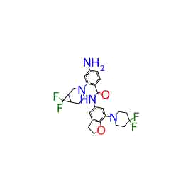 Nc1ccc(C(=O)Nc2cc3c(c(N4CCC(F)(F)CC4)c2)OCC3)c(N2CCC3C(C2)C3(F)F)c1